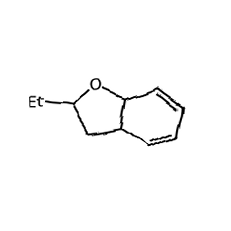 CCC1CC2C=CC=CC2O1